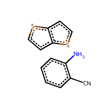 N#Cc1ccccc1N.c1cc2sccc2s1